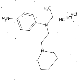 CCN(CCN1CCCCC1)c1ccc(N)cc1.Cl.Cl.Cl